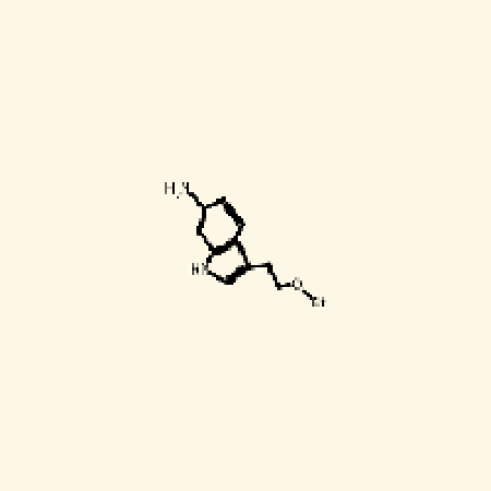 CCOCCc1c[nH]c2c1C=CC(N)C2